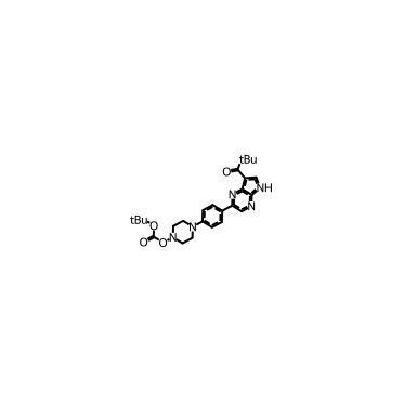 CC(C)(C)OC(=O)ON1CCN(c2ccc(-c3cnc4[nH]cc(C(=O)C(C)(C)C)c4n3)cc2)CC1